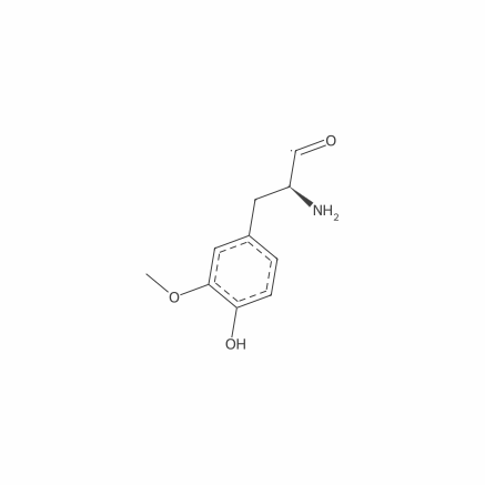 COc1cc(C[C@H](N)[C]=O)ccc1O